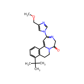 COCc1cn(C2=NCC(=O)N3CCc4c(cccc4C(C)(C)C)C3=C2)cn1